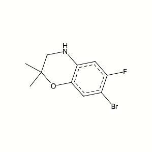 CC1(C)CNc2cc(F)c(Br)cc2O1